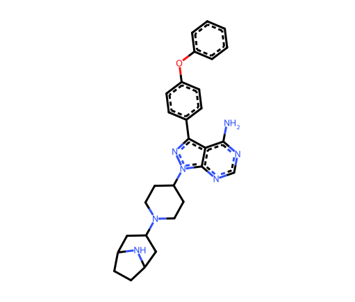 Nc1ncnc2c1c(-c1ccc(Oc3ccccc3)cc1)nn2C1CCN(C2CC3CCC(C2)N3)CC1